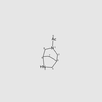 CC(=O)N1CC2CNC(C2)C1